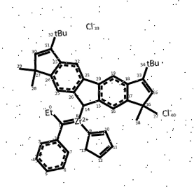 CC/[C](c1ccccc1)=[Zr+2](/[C]1=CC=CC1)[CH]1c2cc3c(cc2-c2cc4c(cc21)C(C)(C)C=C4C(C)(C)C)C(C(C)(C)C)=CC3(C)C.[Cl-].[Cl-]